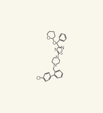 Clc1ccc(-c2ccccc2CN2CCN(c3nc(C(OC4CCCCO4)c4ccccc4)ns3)CC2)cc1